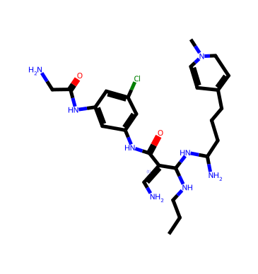 CCCNC(NC(N)CCCC1=CCN(C)C=C1)/C(=C\N)C(=O)Nc1cc(Cl)cc(NC(=O)CN)c1